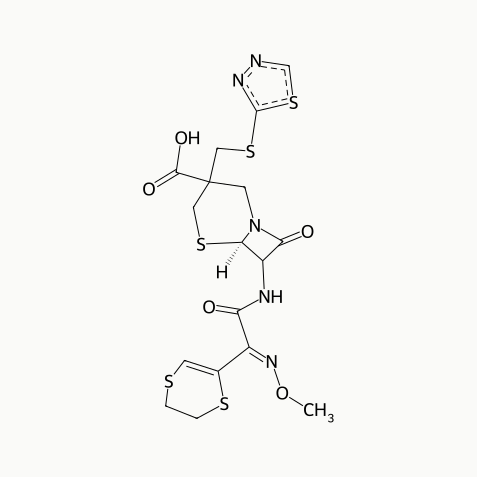 CON=C(C(=O)NC1C(=O)N2CC(CSc3nncs3)(C(=O)O)CS[C@H]12)C1=CSCCS1